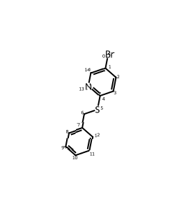 Brc1ccc(SCc2ccccc2)nc1